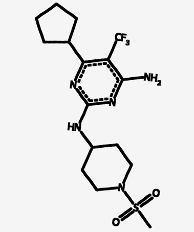 CS(=O)(=O)N1CCC(Nc2nc(N)c(C(F)(F)F)c(C3CCCC3)n2)CC1